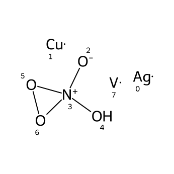 [Ag].[Cu].[O-][N+]1(O)OO1.[V]